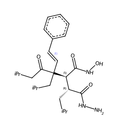 CC(C)CC(=O)C(/C=C/c1ccccc1)(CC(C)C)[C@@H](C(=O)NO)[C@@H](CC(C)C)C(=O)NN